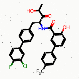 CC(O)C(=O)[C@H](Cc1ccc(-c2ccc(F)c(Cl)c2)cc1)NC(=O)c1cc(-c2ccc(C(F)(F)F)cc2)ccc1O